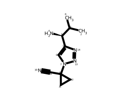 CC(C)[C@H](N)c1cn(C2(C#N)CC2)nn1